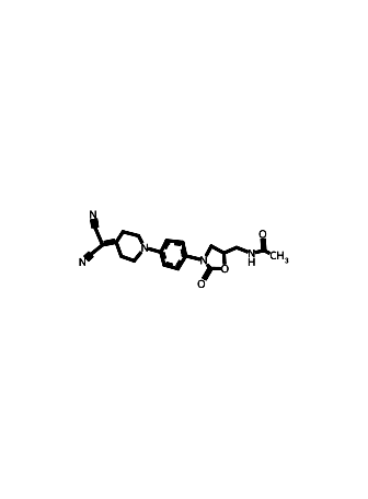 CC(=O)NCC1CN(c2ccc(N3CCC(=C(C#N)C#N)CC3)cc2)C(=O)O1